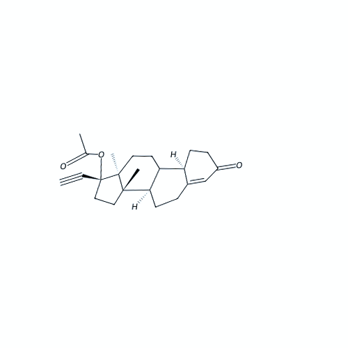 C#C[C@]1(OC(C)=O)CC[C@@]2(C)[C@@H]3CCC4=CC(=O)CC[C@@H]4C3CC[C@@]21C